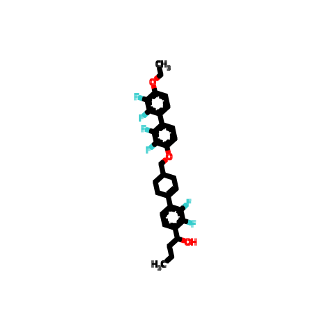 CCCC(O)c1ccc(C2=CCC(COc3ccc(-c4ccc(OCC)c(F)c4F)c(F)c3F)CC2)c(F)c1F